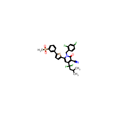 CC(C)CC(F)(F)c1cc(-c2ccc(-c3cccc(S(C)(=O)=O)c3)s2)n(Cc2ccc(F)cc2F)c(=O)c1C#N